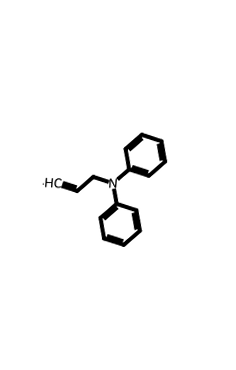 [CH]=CCN(c1ccccc1)c1ccccc1